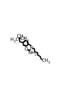 CCCCCCCN(Cc1ccc(CC(C)(C)C)cc1)C(N)=O